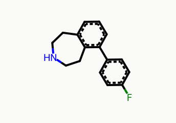 Fc1ccc(-c2cccc3c2CCNCC3)cc1